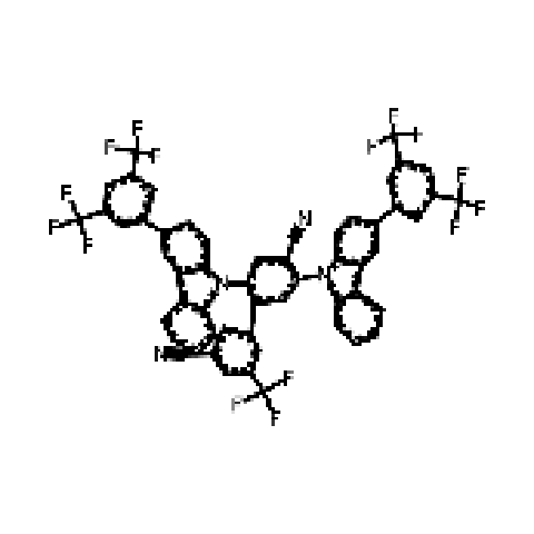 N#Cc1cc(-c2cc(-n3c4ccccc4c4cc(-c5cc(C(F)(F)F)cc(C(F)(F)F)c5)ccc43)c(C#N)cc2-n2c3ccccc3c3cc(-c4cc(C(F)(F)F)cc(C(F)(F)F)c4)ccc32)cc(C(F)(F)F)c1